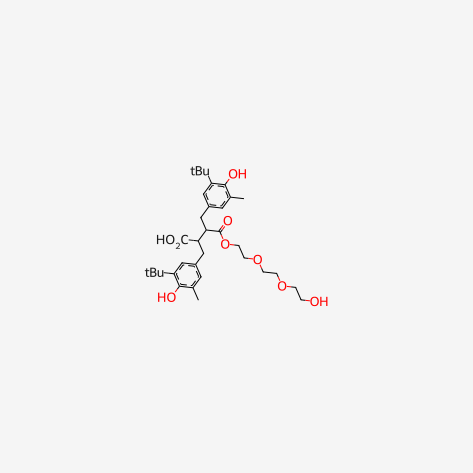 Cc1cc(CC(C(=O)O)C(Cc2cc(C)c(O)c(C(C)(C)C)c2)C(=O)OCCOCCOCCO)cc(C(C)(C)C)c1O